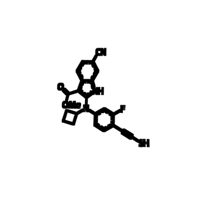 COC(=O)c1c(N(c2ccc(C#CS)c(F)c2)C2CCC2)[nH]c2cc(C#N)ccc12